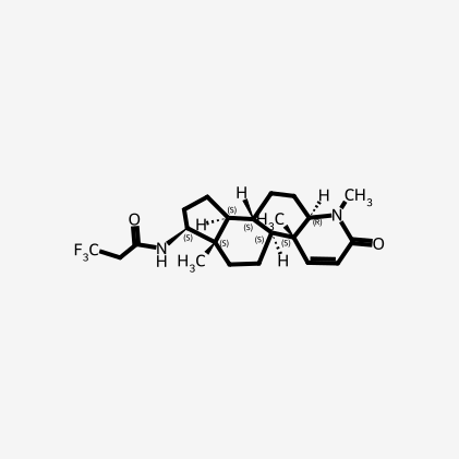 CN1C(=O)C=C[C@]2(C)[C@H]3CC[C@]4(C)[C@@H](NC(=O)CC(F)(F)F)CC[C@H]4[C@@H]3CC[C@@H]12